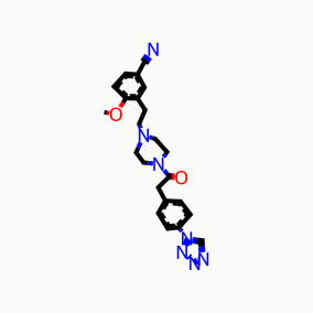 COc1ccc(C#N)cc1CCN1CCN(C(=O)Cc2ccc(-n3cnnn3)cc2)CC1